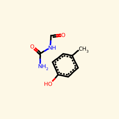 Cc1ccc(O)cc1.NC(=O)NC=O